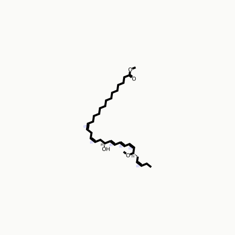 CC/C=C\C[C@@H](\C=C/C=C/C=C/[C@H](O)C/C=C\C/C=C\CCCCCCCCCCCCC(=O)OC)OC